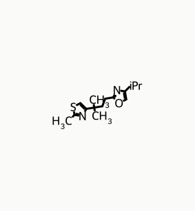 Cc1nc(C(C)(C)CCc2nc(C(C)C)co2)cs1